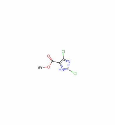 CC(C)OC(=O)c1[nH]c(Cl)nc1Cl